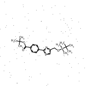 CC(C)(C)OC(=O)c1ccc(-c2nc(CO[Si](C)(C)C(C)(C)C)cs2)cc1